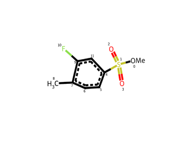 COS(=O)(=O)c1ccc(C)c(F)c1